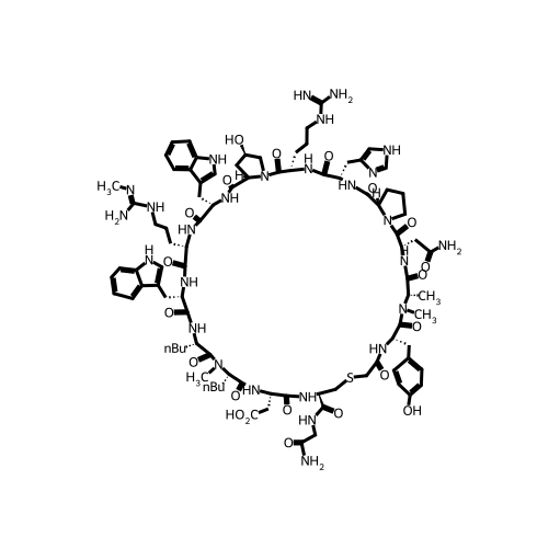 CCCC[C@@H]1NC(=O)[C@H](Cc2c[nH]c3ccccc23)NC(=O)[C@H](CCCN/C(N)=N/C)NC(=O)[C@H](Cc2c[nH]c3ccccc23)NC(=O)[C@@H]2C[C@@H](O)CN2C(=O)[C@H](CCCNC(=N)N)NC(=O)[C@H](Cc2c[nH]cn2)NC(=O)[C@@H]2CCCN2C(=O)[C@H](CC(N)=O)NC(=O)[C@H](C)N(C)C(=O)[C@H](Cc2ccc(O)cc2)NC(=O)CSC[C@@H](C(=O)NCC(N)=O)NC(=O)[C@H](CC(=O)O)NC(=O)[C@H](CCCC)N(C)C1=O